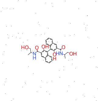 CC(CO)NC(=O)c1cc2ccccc2c(-c2c(O)c(C(=O)NC(C)CO)cc3ccccc23)c1O